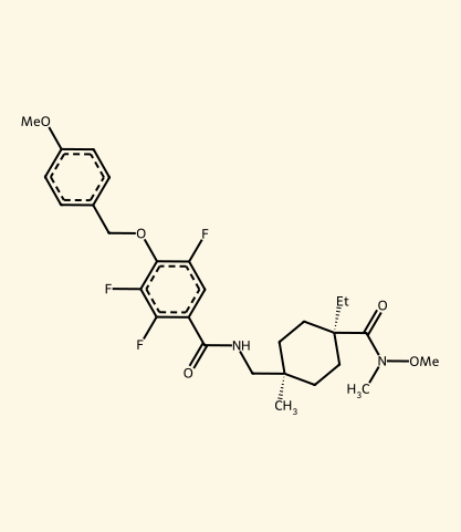 CC[C@]1(C(=O)N(C)OC)CC[C@@](C)(CNC(=O)c2cc(F)c(OCc3ccc(OC)cc3)c(F)c2F)CC1